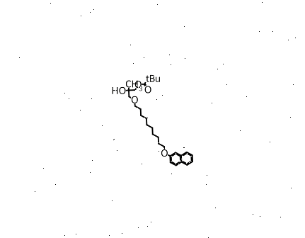 CC(O)(COCCCCCCCCCCOc1ccc2ccccc2c1)COC(=O)C(C)(C)C